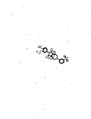 C[C@]12CN(c3cccc(S(C)(=O)=O)c3)C[C@](C)(O1)[C@@H]1C(=O)N(c3ccc(C#N)c(C(F)(F)F)c3)C(=O)[C@@H]12